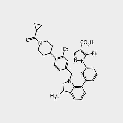 CCc1cc(CN2CC(C)c3cccc(-c4cccc(-n5ncc(C(=O)O)c5CC)n4)c32)ccc1C1CCN(C(=O)C2CC2)CC1